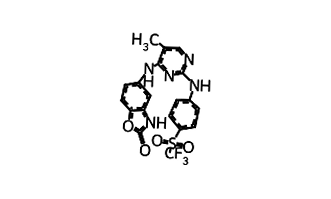 Cc1cnc(Nc2ccc(S(=O)(=O)C(F)(F)F)cc2)nc1Nc1ccc2oc(=O)[nH]c2c1